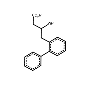 O=C(O)CC(O)Cc1ccccc1-c1ccccc1